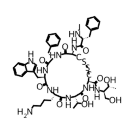 CC(O)[C@@H]1NC(=O)[C@H](CCCCN)NC(=O)[C@@H](Cc2c[nH]c3ccccc23)NC(=O)[C@H](Cc2ccccc2)NC(=O)[C@@H](NC(=O)[C@@H](Cc2ccccc2)NI)CSSC[C@@H](C(=O)N[C@H](CO)[C@@H](C)O)NC1=O